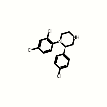 Clc1ccc([C@@H]2CNCCN2c2ccc(Cl)cc2Cl)cc1